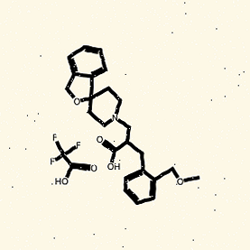 COCc1ccccc1CC(CN1CCC2(CC1)OCc1ccccc12)C(=O)O.O=C(O)C(F)(F)F